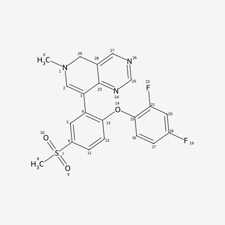 CN1C=C(c2cc(S(C)(=O)=O)ccc2Oc2ccc(F)cc2F)c2ncncc2C1